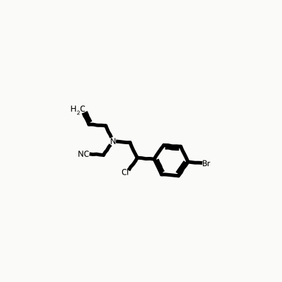 C=CCN(CC#N)CC(Cl)c1ccc(Br)cc1